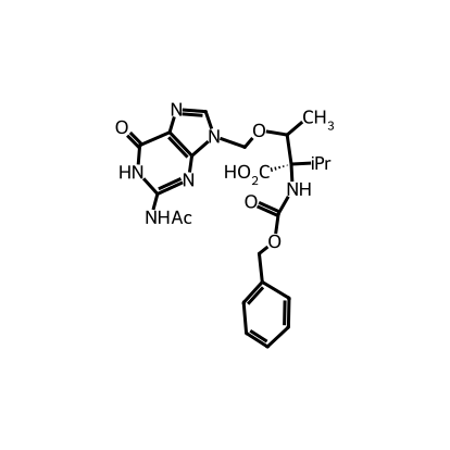 CC(=O)Nc1nc2c(ncn2COC(C)[C@@](NC(=O)OCc2ccccc2)(C(=O)O)C(C)C)c(=O)[nH]1